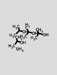 CC(C)O.CC(C)O.CC(C)O.CC(C)O.[SiH4]